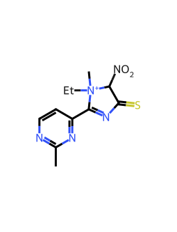 CC[N+]1(C)C(c2ccnc(C)n2)=NC(=S)C1[N+](=O)[O-]